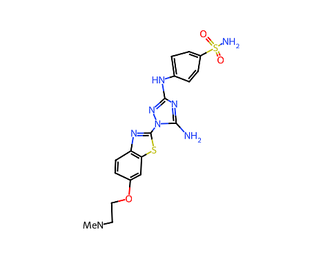 CNCCOc1ccc2nc(-n3nc(Nc4ccc(S(N)(=O)=O)cc4)nc3N)sc2c1